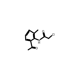 CC(=O)c1cccc(C)c1NC(=O)CCl